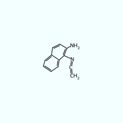 C=C=Nc1c(N)ccc2ccccc12